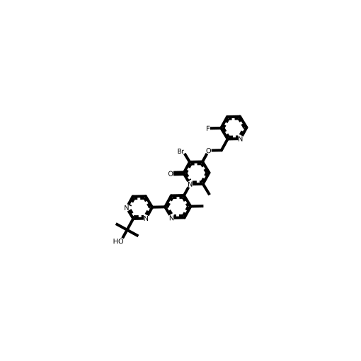 Cc1cnc(-c2ccnc(C(C)(C)O)n2)cc1-n1c(C)cc(OCc2ncccc2F)c(Br)c1=O